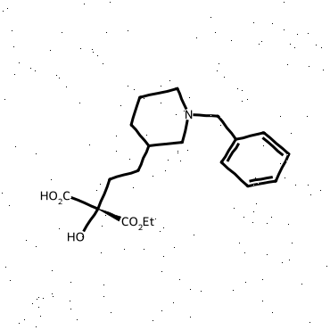 CCOC(=O)[C@](O)(CCC1CCCN(Cc2ccccc2)C1)C(=O)O